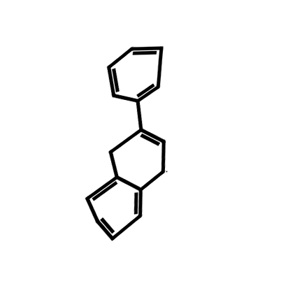 [CH]1C=C(c2ccccc2)Cc2ccccc21